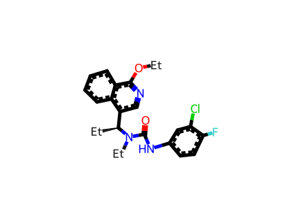 CCOc1ncc([C@H](CC)N(CC)C(=O)Nc2ccc(F)c(Cl)c2)c2ccccc12